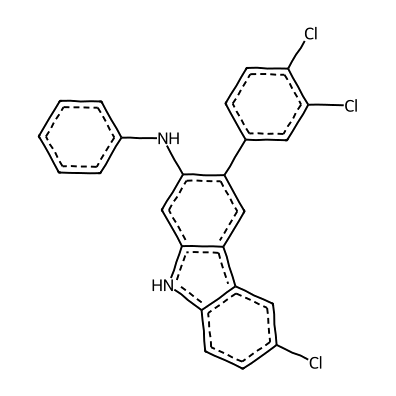 Clc1ccc2[nH]c3cc(Nc4ccccc4)c(-c4ccc(Cl)c(Cl)c4)cc3c2c1